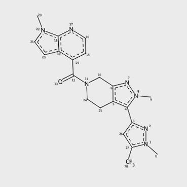 Cn1nc(-c2c3c(nn2C)CN(C(=O)c2ccnc4c2ccn4C)CC3)cc1C(F)(F)F